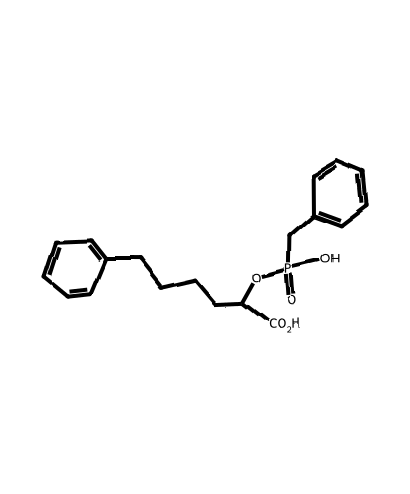 O=C(O)C(CCCCc1ccccc1)OP(=O)(O)Cc1ccccc1